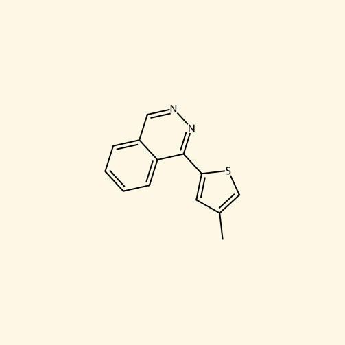 Cc1csc(-c2nncc3ccccc23)c1